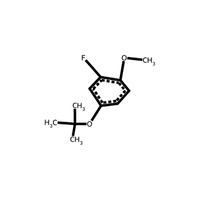 COc1ccc(OC(C)(C)C)cc1F